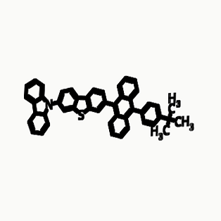 CC(C)(C)c1ccc(-c2c3ccccc3c(-c3ccc4c(c3)sc3cc(N5c6ccccc6C6C=CC=CC65)ccc34)c3ccccc23)cc1